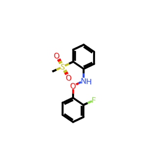 CS(=O)(=O)c1ccccc1NOc1ccccc1F